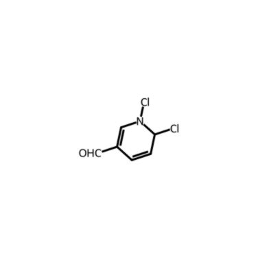 O=CC1=CN(Cl)C(Cl)C=C1